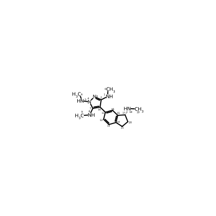 CNc1nn(NC)c(NC)c1-c1ccc2c(c1)[C@H](NC)CC2